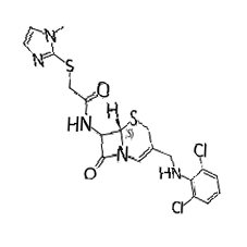 Cn1ccnc1SCC(=O)NC1C(=O)N2C=C(CNc3c(Cl)cccc3Cl)CS[C@@H]12